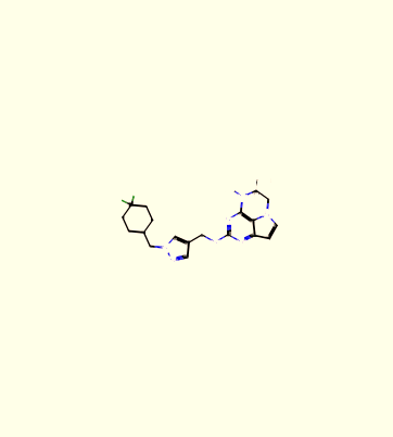 C[C@H]1Cn2ccc3nc(NCc4cnn(CC5CCC(F)(F)CC5)c4)nc(c32)N1C